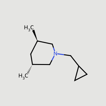 C[C@@H]1C[C@@H](C)CN(CC2CC2)C1